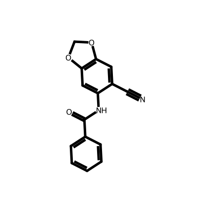 N#Cc1cc2c(cc1NC(=O)c1ccccc1)OCO2